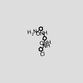 NC(=O)c1ccccc1NCc1ccc(NC(=O)Nc2cccc(Cl)c2)cc1